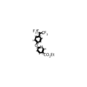 CCOC(=O)c1ccc(Oc2ccc(C(C(F)(F)F)C(F)(F)F)cc2)nc1